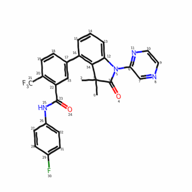 CC1(C)C(=O)N(c2cnccn2)c2cccc(-c3ccc(C(F)(F)F)c(C(=O)Nc4ccc(F)cc4)c3)c21